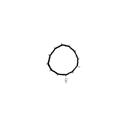 C1CCCCCCCCCCC1.[C]